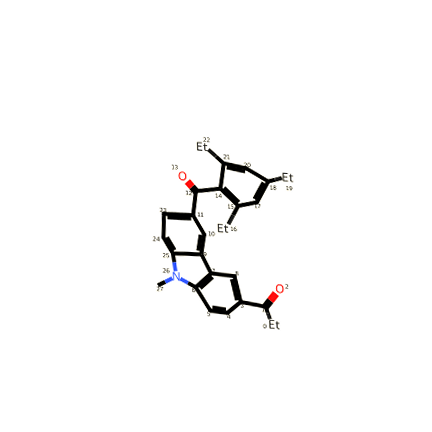 CCC(=O)c1ccc2c(c1)c1cc(C(=O)c3c(CC)cc(CC)cc3CC)ccc1n2C